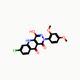 COc1ccc(-n2nc(O)c3[nH]c4cc(Cl)ccc4c(=O)c3c2=O)c(OC)c1